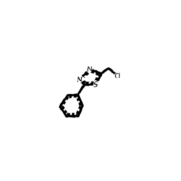 ClCc1nnc(-c2ccccc2)s1